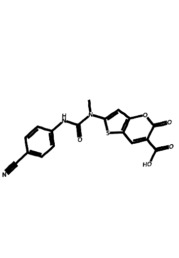 CN(C(=O)Nc1ccc(C#N)cc1)c1cc2oc(=O)c(C(=O)O)cc2s1